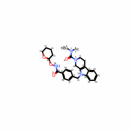 CCCCN(C(C)=O)C(=O)N1CCc2c(n(Cc3ccc(C(=O)NOC4CCCCO4)cc3)c3ccccc23)C1